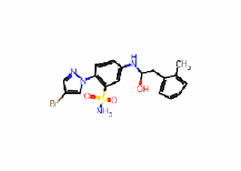 Cc1ccccc1CC(O)Nc1ccc(-n2cc(Br)cn2)c(S(N)(=O)=O)c1